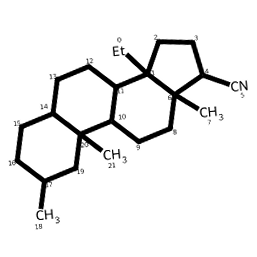 CCC12CCC(C#N)C1(C)CCC1C2CCC2CCC(C)CC21C